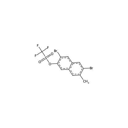 Cc1cc2cc(OS(=O)(=O)C(F)(F)F)c(Br)cc2cc1Br